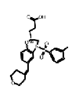 Cc1cccc(S(=O)(=O)N2C[C@H](CCC(=O)O)Oc3ccc(C=C4CCOCC4)cc32)c1